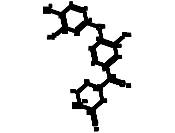 CCc1c[c]c(Oc2ccc(C(=O)N3CCNC(=O)C3)cc2F)cc1F